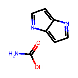 C1=NC2=CC=NC2=C1.NC(=O)O